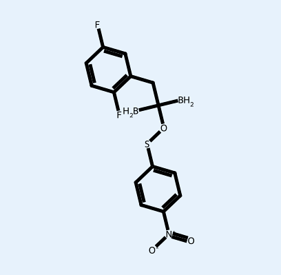 BC(B)(Cc1cc(F)ccc1F)OSc1ccc([N+](=O)[O-])cc1